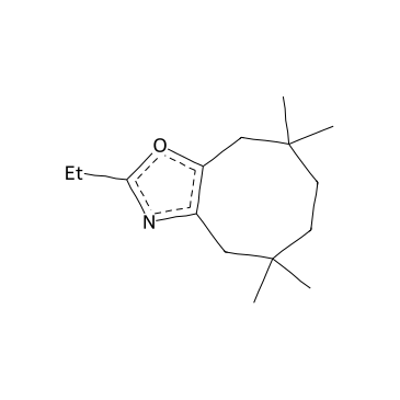 CCc1nc2c(o1)CC(C)(C)CCC(C)(C)C2